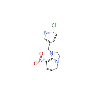 O=[N+]([O-])C1=C2N(CC=C1)CCN2Cc1ccc(Cl)nc1